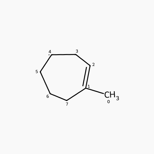 CC1=CC[CH]CCC1